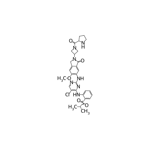 COc1cc2c(cc1Nc1ncc(Cl)c(Nc3ccccc3S(=O)(=O)C(C)C)n1)C(=O)N(C1CN(C(=O)C3CCCN3)C1)C2